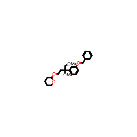 COCC(CCOC1CCCCO1)(OC)c1cccc(OCc2ccccc2)c1